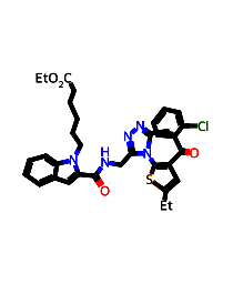 CCOC(=O)CCCCCn1c(C(=O)NCc2nnc(C)n2-c2sc(CC)cc2C(=O)c2ccccc2Cl)cc2ccccc21